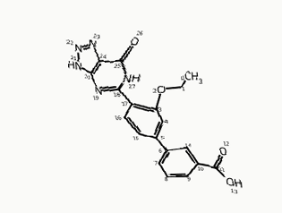 CCOc1cc(-c2cccc(C(=O)O)c2)ccc1-c1nc2[nH]nnc2c(=O)[nH]1